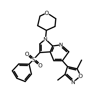 Cc1noc(C)c1-c1cnc2c(c1)c(S(=O)(=O)c1ccccc1)cn2C1CCOCC1